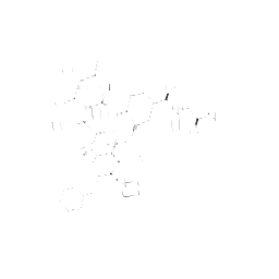 CCC1CC(C(=O)NCC(N)=O)C[C@@H](O[C@@H]2OC(CO)[C@H](O)C(O[C@@H](CC3CCCCC3)C(=O)N3CCC3)C2NC(C)=O)C1O[C@@H]1OC(C)[C@@H](O)C(O)C1O